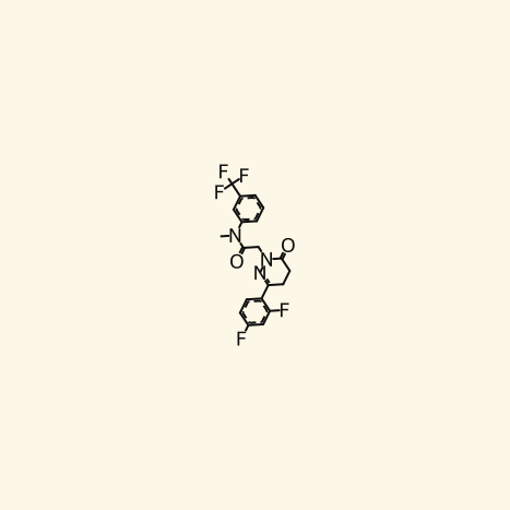 CN(C(=O)CN1N=C(c2ccc(F)cc2F)CCC1=O)c1cccc(C(F)(F)F)c1